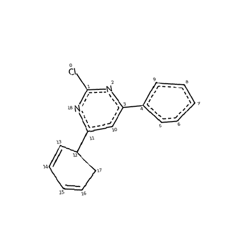 Clc1nc(-c2ccccc2)cc(C2C=CC=CC2)n1